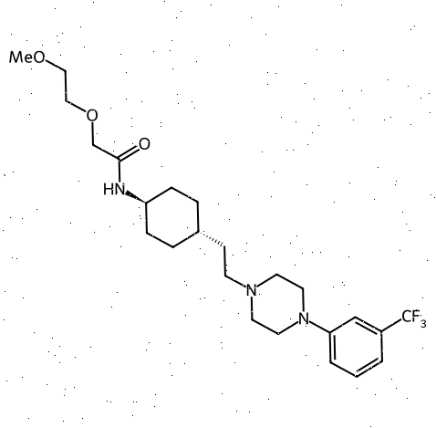 COCCOCC(=O)N[C@H]1CC[C@H](CCN2CCN(c3cccc(C(F)(F)F)c3)CC2)CC1